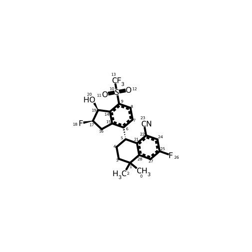 CC1(C)CC[C@H](c2ccc(S(=O)(=O)C(F)(F)F)c3c2C[C@@H](F)[C@H]3O)c2c(C#N)cc(F)cc21